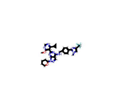 COc1ncnc(C2CC2)c1-c1nc(NCc2ccc(-c3nc(C(F)(F)F)cn3C)cc2)c2cnn(C3CCCCO3)c2n1